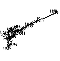 C[C@H](CCCCN(CC(=O)O)CC(=O)O)NC(=O)[C@H](Cc1c[nH]cn1)NC(=O)[C@H](CCC(N)=O)NC(=O)[C@H](CO)NC(=O)[C@H](CO)NC(=O)[C@H](CCC(N)=O)NC(=O)[C@@H](CO)NC(=O)CNC(=O)COCCOCCNC(=O)COCCOCCNC(=O)CCCCCCCCCCCCCCCc1nnn[nH]1